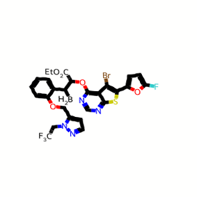 BC(c1ccccc1OCc1ccnn1CC(F)(F)F)C(Oc1ncnc2sc(-c3ccc(F)o3)c(Br)c12)C(=O)OCC